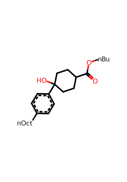 CCCCCCCCc1ccc(C2(O)CCC(C(=O)OCCCC)CC2)cc1